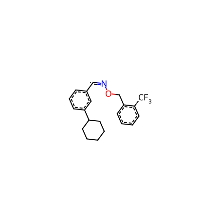 FC(F)(F)c1ccccc1CO/N=[C]\c1cccc(C2CCCCC2)c1